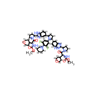 COC(=O)NC(C(=O)N1CCC[C@H]1c1nc2cc([C@H]3CC[C@H](c4ccc5[nH]c([C@@H]6CCCN6C(=O)[C@@H](NC(=O)OC)C6CCOCC6)nc5c4)N3c3cc(F)c(N4CCCCC4)c(F)c3)ccc2[nH]1)C1CCOCC1